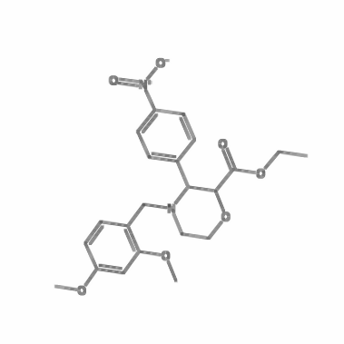 CCOC(=O)C1OCCN(Cc2ccc(OC)cc2OC)C1c1ccc([N+](=O)[O-])cc1